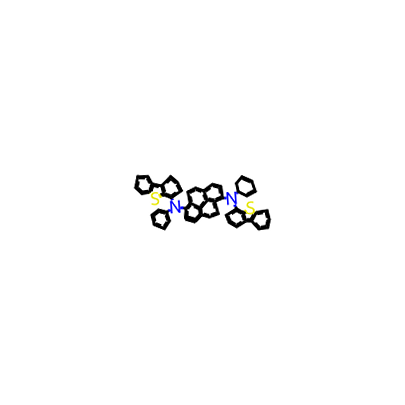 c1c(N(c2ccccc2)c2cccc3c2sc2ccccc23)c2ccc3ccc(N(c4cccc5c4sc4ccccc45)C4C=CC=CC4)c4ccc(c#1)c2c34